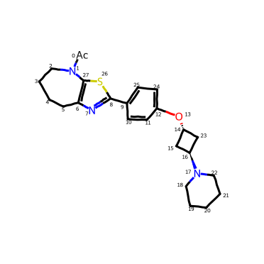 CC(=O)N1CCCCc2nc(-c3ccc(O[C@H]4C[C@H](N5CCCCC5)C4)cc3)sc21